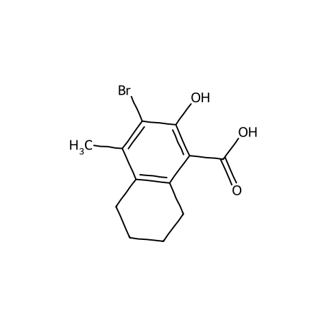 Cc1c(Br)c(O)c(C(=O)O)c2c1CCCC2